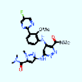 CNC(=O)c1nnc(Nc2cc(C(=O)N(C)C)n(C)n2)cc1Nc1cccc(-c2ncc(F)cn2)c1OC